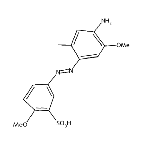 COc1cc(N=Nc2ccc(OC)c(S(=O)(=O)O)c2)c(C)cc1N